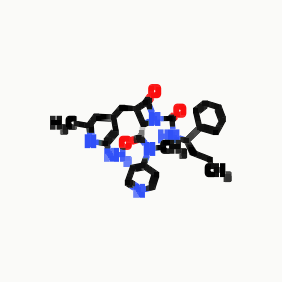 CCC[C@@H](NC(=O)N1C(=O)[C@H](Cc2cc(C)nc(N)c2)[C@H]1C(=O)N(C)c1ccncc1)c1ccccc1